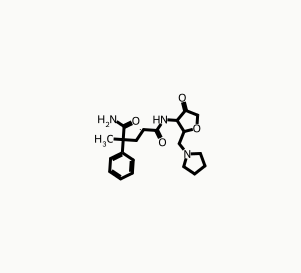 CC(C[CH]C(=O)NC1C(=O)COC1CN1CCCC1)(C(N)=O)c1ccccc1